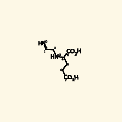 N=CCNC(CCC(=O)O)C(=O)O